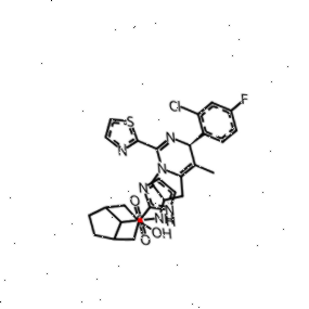 CC1=C2CC(NS(=O)(=O)C3C4CCC3CC(O)(c3ncc[nH]3)C4)CN2C(c2nccs2)=N[C@H]1c1ccc(F)cc1Cl